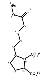 CC(C)(C)OC(=O)COCCC1CCC(C(=O)O)N1C(=O)O